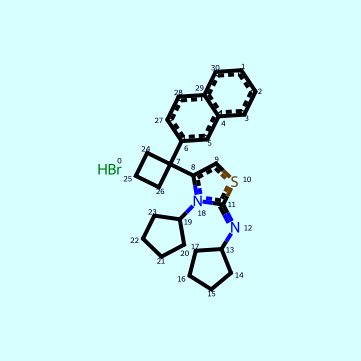 Br.c1ccc2cc(C3(c4csc(=NC5CCCC5)n4C4CCCC4)CCC3)ccc2c1